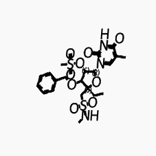 CC[C@]1(CS(=O)(=O)NC)O[C@@H](n2cc(C)c(=O)[nH]c2=O)[C@@H](OS(C)(=O)=O)C1OCc1ccccc1